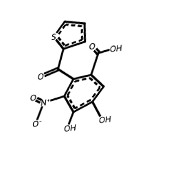 O=C(O)c1cc(O)c(O)c([N+](=O)[O-])c1C(=O)c1cccs1